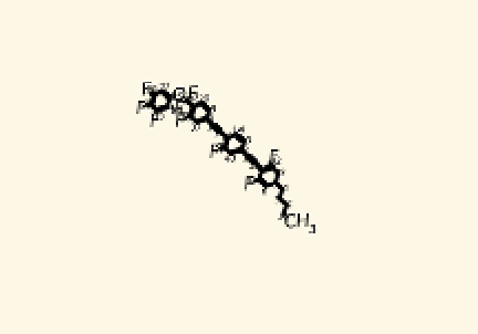 CCCCCC1C=C(F)C(C#Cc2ccc(C#Cc3ccc(C(F)(F)Oc4cc(F)c(F)c(F)c4)c(F)c3)c(F)c2)=C(F)C1